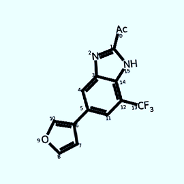 CC(=O)c1nc2cc(-c3ccoc3)cc(C(F)(F)F)c2[nH]1